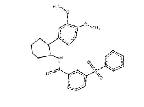 COc1ccc(C2CCCCC2NC(=O)c2cccc(S(=O)(=O)c3ccccc3)c2)cc1OC